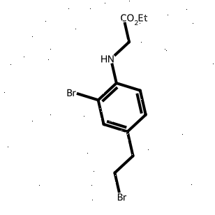 CCOC(=O)CNc1ccc(CCBr)cc1Br